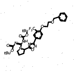 CC(C)(C)OC(=O)N=C(NC(=O)OC(C)(C)C)N1CCCC1c1nc(-c2ccc(OCCOCc3ccccc3)c(C(F)(F)F)c2)no1